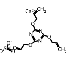 C=CCOc1nc(OCC=C)nc(OCC=C)n1.O=[Si]([O-])[O-].[Ca+2]